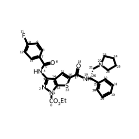 CCOC(=O)n1nc(NC(=O)c2ccc(F)cc2)c2cc(C(=O)N[C@H](CN3CCCC3)c3ccccc3)sc21